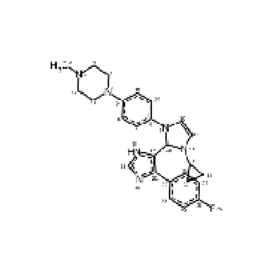 CN1CCN(c2ccc(N3C=CN(C4CC4)C3c3[nH]cnc3-c3ccc(F)cc3)cc2)CC1